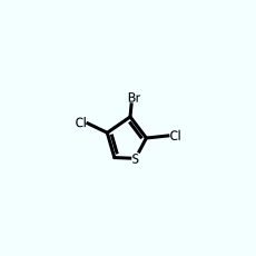 Clc1csc(Cl)c1Br